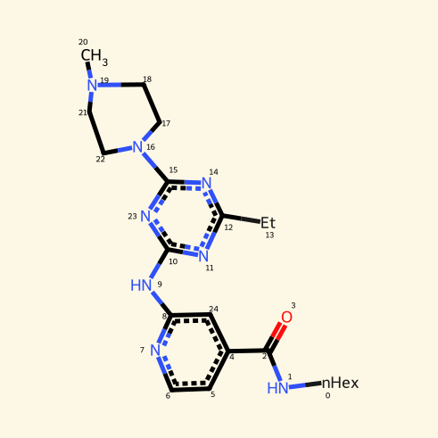 CCCCCCNC(=O)c1ccnc(Nc2nc(CC)nc(N3CCN(C)CC3)n2)c1